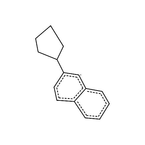 [c]1c(C2CCCC2)ccc2ccccc12